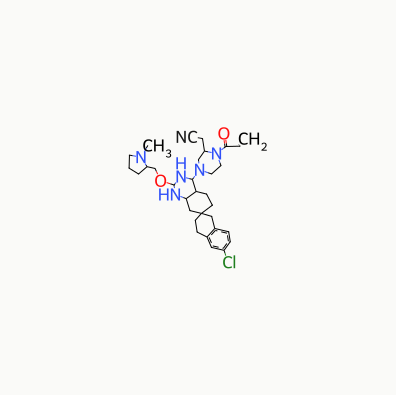 C=CC(=O)N1CCN(C2NC(OCC3CCCN3C)NC3CC4(CCc5cc(Cl)ccc5C4)CCC32)CC1CC#N